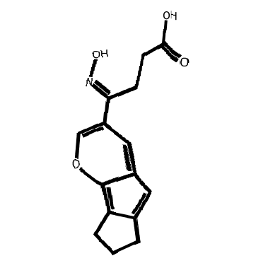 O=C(O)CCC(=NO)c1coc2c3c(cc-2c1)CCC3